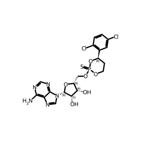 Nc1ncnc2c1ncn2[C@@H]1O[C@H](COP2(=S)OCC[C@H](c3cc(Cl)ccc3Cl)O2)[C@H](O)[C@@H]1O